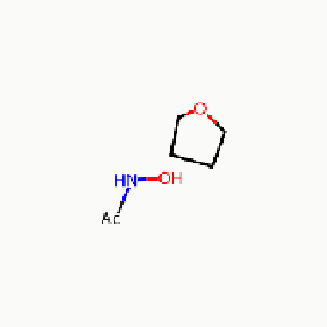 C1CCOC1.CC(=O)NO